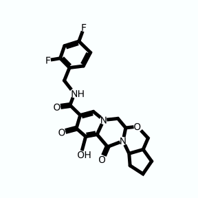 O=C(NCc1ccc(F)cc1F)c1cn2c(c(O)c1=O)C(=O)N1C(C2)OCC2CCCC21